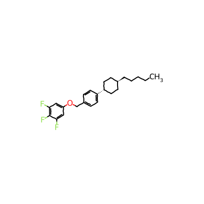 CCCCC[C@H]1CC[C@H](c2ccc(COc3cc(F)c(F)c(F)c3)cc2)CC1